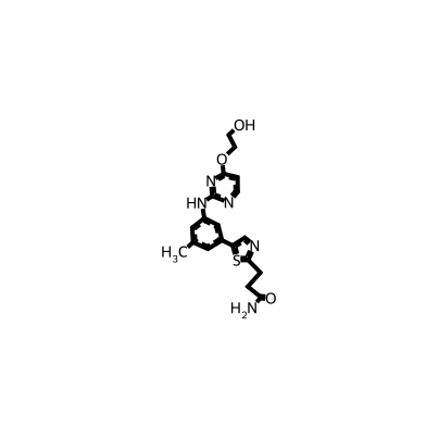 Cc1cc(Nc2nccc(OCCO)n2)cc(-c2cnc(CCC(N)=O)s2)c1